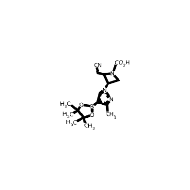 Cc1nn(C2CN(C(=O)O)C2CC#N)cc1B1OC(C)(C)C(C)(C)O1